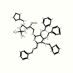 CC(=O)N[C@@H](COC1OC(COCc2ccccc2)C(OCc2ccccc2)C(OCc2ccccc2)C1OCc1ccccc1)[C@@H]1OC(C)(C)O[C@@H]1CC1CCCC1